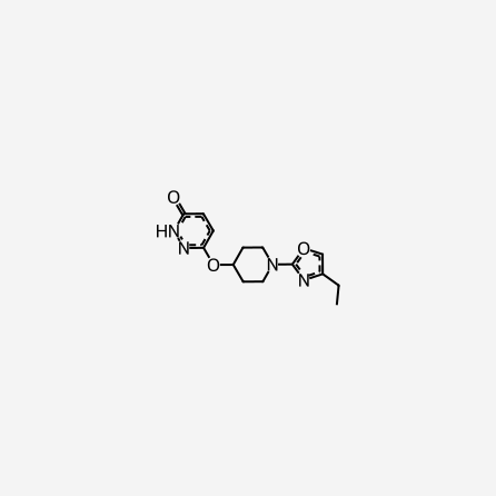 CCc1coc(N2CCC(Oc3ccc(=O)[nH]n3)CC2)n1